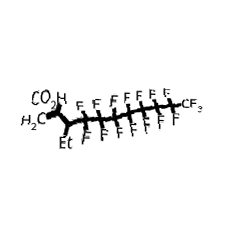 C=C(C(=O)O)C(CC)C(F)(F)C(F)(F)C(F)(F)C(F)(F)C(F)(F)C(F)(F)C(F)(F)C(F)(F)F